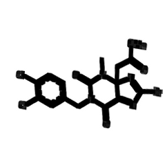 COC(=O)CC12N=C(Br)N=C1C(=O)N(Cc1ccc(Cl)c(Cl)c1)C(=O)N2C